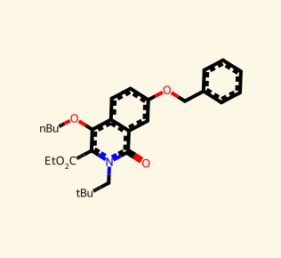 CCCCOc1c(C(=O)OCC)n(CC(C)(C)C)c(=O)c2cc(OCc3ccccc3)ccc12